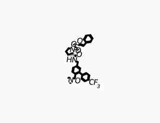 CN(C)C(=O)c1ccc(CNC(=O)[C@@H]2CCCN2S(=O)(=O)c2cc3ccccc3o2)cc1-c1ccc(C(F)(F)F)cc1